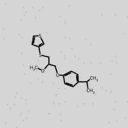 COC(COc1ccc(C(C)C)cc1)CSc1ccsc1